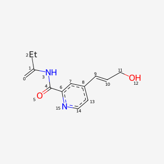 C=C(CC)NC(=O)c1cc(/C=C/CO)ccn1